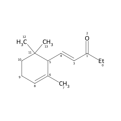 CCC(=O)/C=C/C1C(C)=CCCC1(C)C